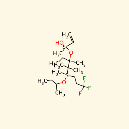 C=C[Si](C)(O)O[C@](C)(CC)C(C)(C)[Si](C)(CCC(F)(F)F)OC(C)CC